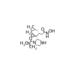 CC(C)C[C@H](CC(=O)NO)C(=O)[C@@H]1CNCCN1C(=O)N(C)C